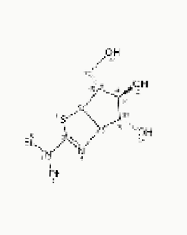 CCN(CC)C1=NC2C(S1)[C@H](CO)[C@@H](O)[C@@H]2O